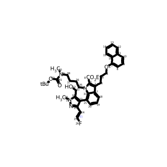 CCOC(=O)c1c(CCCOc2cccc3ccccc23)c2cccc(-c3c(/C=C/F)nn(C)c3CO)c2n1CCCCN(C)C(=O)OC(C)(C)C